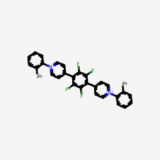 CC(C)c1ccccc1-[n+]1ccc(-c2c(F)c(F)c(-c3cc[n+](-c4ccccc4C(C)C)cc3)c(F)c2F)cc1